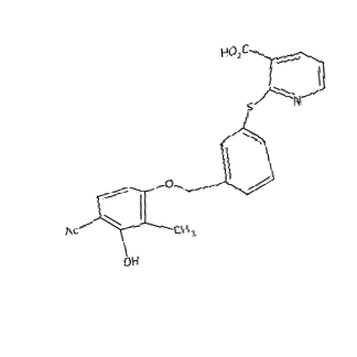 CC(=O)c1ccc(OCc2cccc(Sc3ncccc3C(=O)O)c2)c(C)c1O